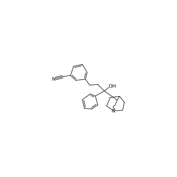 N#Cc1cccc(CCC(O)(c2ccccc2)C2CN3CCC2CC3)c1